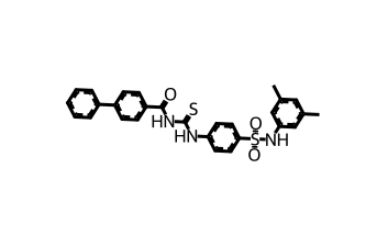 Cc1cc(C)cc(NS(=O)(=O)c2ccc(NC(=S)NC(=O)c3ccc(-c4ccccc4)cc3)cc2)c1